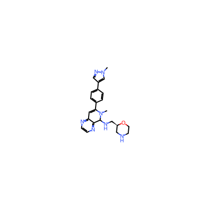 CN1C(c2ccc(-c3cnn(C)c3)cc2)=Cc2nccnc2C1NC[C@@H]1CNCCO1